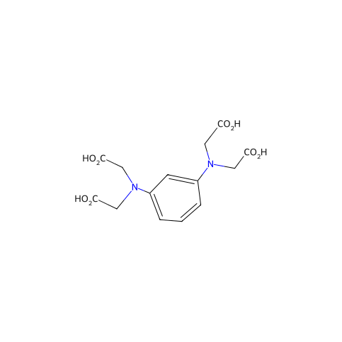 O=C(O)CN(CC(=O)O)c1cccc(N(CC(=O)O)CC(=O)O)c1